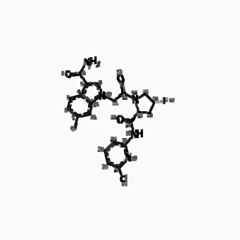 Cc1ccc2c(C(N)=O)cn(CC(=O)N3C[C@H](F)C[C@H]3C(=O)Nc3cccc(Cl)n3)c2c1